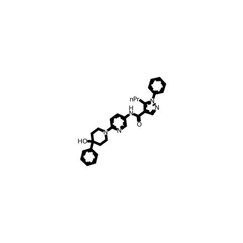 CCCc1c(C(=O)Nc2ccc(N3CCC(O)(c4ccccc4)CC3)nc2)cnn1-c1ccccc1